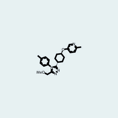 COCc1nnc([C@H]2CC[C@H](Oc3ccc(C)nc3)CC2)n1-c1ccc(C)cc1